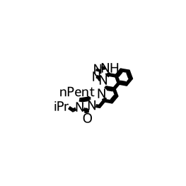 CCCCCc1cn(CC(C)C)c(=O)n1Cc1ccc(-c2ccccc2-c2nnn[nH]2)cn1